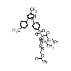 Cc1ccc(-c2cc(C(F)(F)F)nn2-c2ccc(S(=O)(=O)NC(=O)[C@H](CC(C)C)N(C)/[N+]([O-])=N\OCOC(=O)C(C)C)cc2)cc1